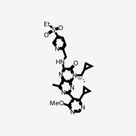 CCS(=O)(=O)c1ccc(CNc2nc3c(C)nc(-c4c(OC)ncnc4C4CC4)nc3n([C@@H](C)C3CC3)c2=O)nc1